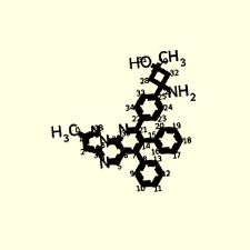 Cc1cc2ncc3c(-c4ccccc4)c(-c4ccccc4)c(-c4ccc(C5(N)CC(C)(O)C5)cc4)nc3n2n1